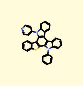 c1ccc(-n2c3ccccc3c3c4c5ccccc5n(-c5ccncc5)c4c4c5ccccc5sc4c32)cc1